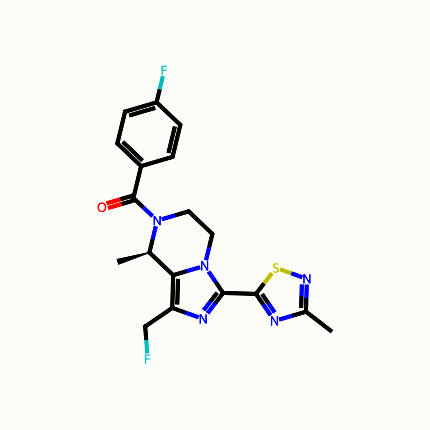 Cc1nsc(-c2nc(CF)c3n2CCN(C(=O)c2ccc(F)cc2)[C@@H]3C)n1